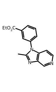 CCOC(=O)c1cccc(-n2c(C)nc3cnccc32)c1